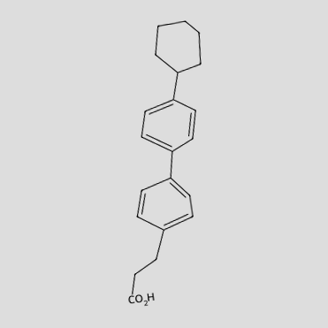 O=C(O)CCc1ccc(-c2ccc(C3CCCCC3)cc2)cc1